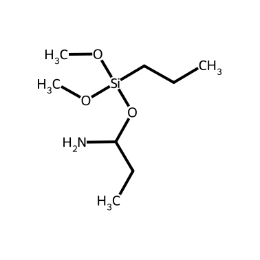 CCC[Si](OC)(OC)OC(N)CC